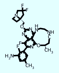 Cc1cc(N)c(F)c(-c2nc3c4c(nc(OC[C@]56CCN5CC(F)(F)C6)nc4c2F)NCCNCC[C@H](C)O3)c1